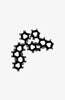 c1ccc(-c2cc3ccccc3c3sc4ccc(N(c5ccccc5)c5ccc6ccc7c8ccccc8ccc7c6c5)cc4c23)cc1